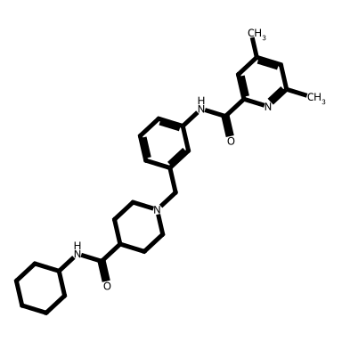 Cc1cc(C)nc(C(=O)Nc2cccc(CN3CCC(C(=O)NC4CCCCC4)CC3)c2)c1